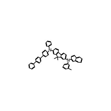 Cc1cccc(N(c2ccc3c(c2)C(C)(C)c2cc(N(c4ccccc4)c4ccc(-c5ccc(-c6ccccc6)cc5)cc4)ccc2-3)c2ccc3ccccc3c2)c1